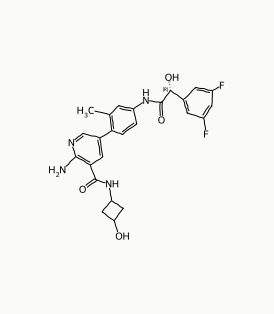 Cc1cc(NC(=O)[C@H](O)c2cc(F)cc(F)c2)ccc1-c1cnc(N)c(C(=O)NC2CC(O)C2)c1